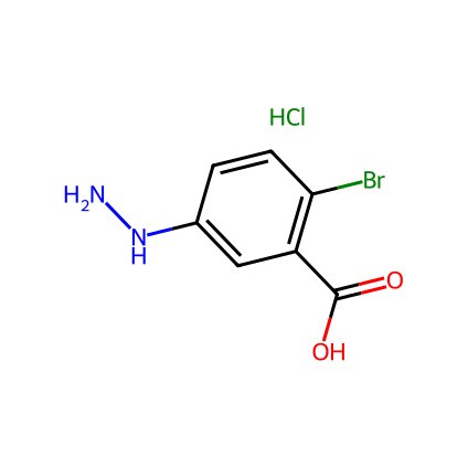 Cl.NNc1ccc(Br)c(C(=O)O)c1